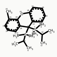 BS(B)(C(C)C)C1(S(B)(B)C(C)C)c2ccccc2Oc2c(C)cccc21